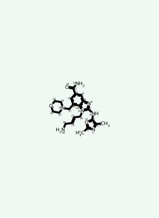 Cc1nc(C)c(Nc2nc3cc(C(N)=O)cc(CN4CCOCC4)c3n2C/C=C/CN)o1